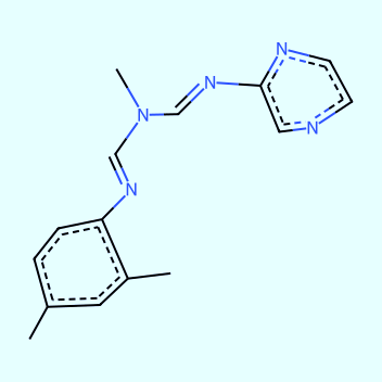 Cc1ccc(N=CN(C)C=Nc2cnccn2)c(C)c1